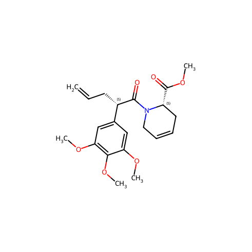 C=CC[C@H](C(=O)N1CC=CC[C@H]1C(=O)OC)c1cc(OC)c(OC)c(OC)c1